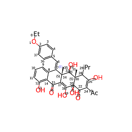 CCOc1ccc(/C=C2\c3cccc(O)c3C(=O)C3=C(O)[C@@]4(O)C(=O)C(C(C)=O)=C(O)C(C(C)C)[C@@]4(C)[C@H](O)[C@]32C)cc1